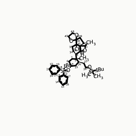 CC1O[C@@H]2[C@@H]([C@@]3(C)CC[C@H](O[Si](c4ccccc4)(c4ccccc4)C(C)(C)C)C[C@@H]3CCO[Si](C)(C)C(C)(C)C)CC[C@]3(C)C4(CC[C@@]123)OCCO4